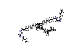 CCCCC/C=C\C/C=C\CCCCCCCCN(CCCCCCCC/C=C\C/C=C\CCCCC)C(=O)OCCCN(C)CCN(C)C